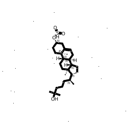 C[C@@H](CCCC(C)(C)O)[C@H]1CC[C@H]2[C@@H]3CC=C4C[C@@H](O[SH](=O)=O)CC[C@]4(C)[C@H]3CC[C@]12C